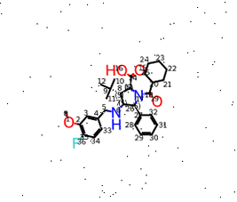 COc1cc(CN[C@H]2[C@H](C(C)(C)C)[C@@H](C(=O)O)N(C(=O)C3CCCCC3)[C@H]2c2ccccc2)ccc1F